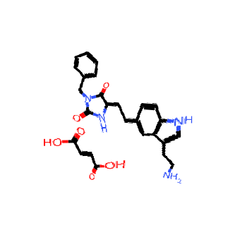 NCCc1c[nH]c2ccc(CCC3NC(=O)N(Cc4ccccc4)C3=O)cc12.O=C(O)C=CC(=O)O